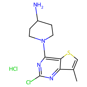 Cc1csc2c(N3CCC(N)CC3)nc(Cl)nc12.Cl